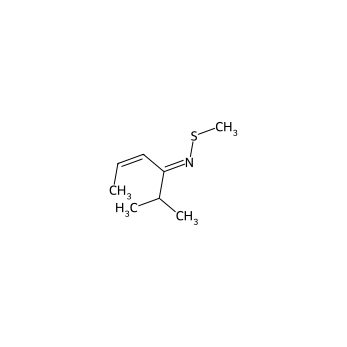 C/C=C\C(=N/SC)C(C)C